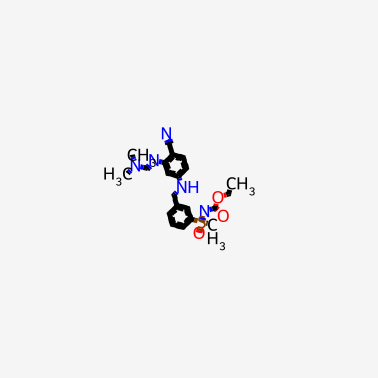 CCOC(=O)N=S(C)(=O)c1cccc(CNc2ccc(C#N)c(N=CN(C)C)c2)c1